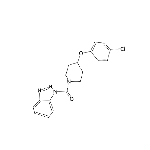 O=C(N1CCC(Oc2ccc(Cl)cc2)CC1)n1nnc2ccccc21